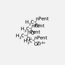 CCCCCC(C)[O-].CCCCCC(C)[O-].CCCCCC(C)[O-].CCCCCC(C)[O-].[Zr+4]